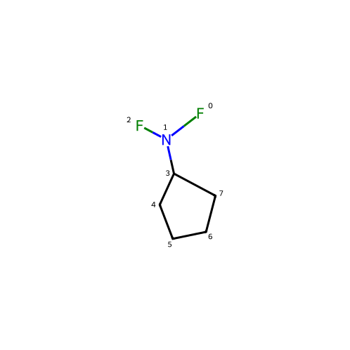 FN(F)C1CCCC1